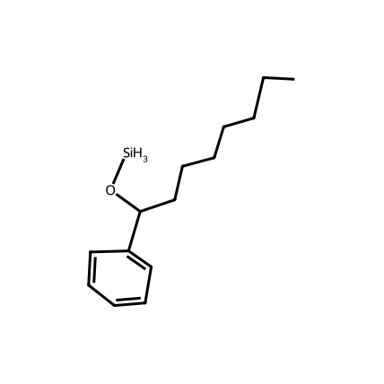 CCCCCCCC(O[SiH3])c1ccccc1